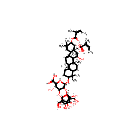 C/C=C(/C)C(=O)O[C@H]1[C@H](OC(=O)/C(C)=C\C)[C@@]2(CO)C(CC1(C)C)C1=CCC3[C@@]4(C)CC[C@H](O[C@@H]5OC(C(=O)O)[C@@H](O)C(O[C@@H]6O[C@@H](CO)C(O)[C@@H]6O)[C@@H]5O[C@@H]5OC(CO)[C@H](O)C(O)[C@@H]5O)C(C)(C)C4CC[C@@]3(C)[C@]1(C)[C@@H](O)[C@H]2O